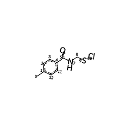 Cc1ccc(C(=O)NCSCl)cc1